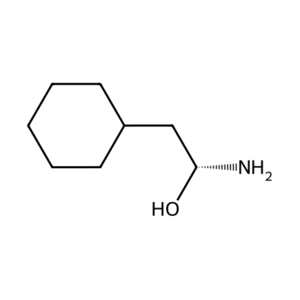 N[C@H](O)CC1CCCCC1